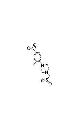 Cc1cc([N+](=O)[O-])ccc1N1CCN(C[SH](=O)=O)CC1